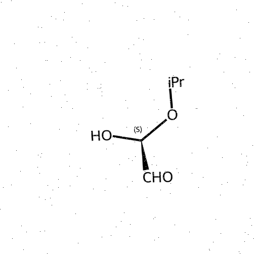 CC(C)O[C@H](O)C=O